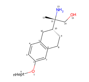 CCCCCCCOc1ccc2c(c1)CC[C@@H]([C@](C)(N)CO)C2